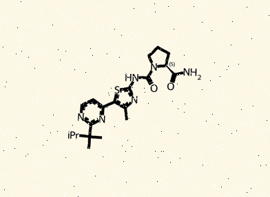 Cc1nc(NC(=O)N2CCC[C@H]2C(N)=O)sc1-c1ccnc(C(C)(C)C(C)C)n1